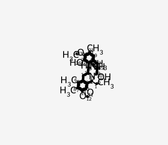 CC[C@H]1c2c(c(C)c(C)c3c2OCO3)CC2[C@H]3c4c(cc(C)c(OC)c4O)C[C@H](C(O)N21)N3C